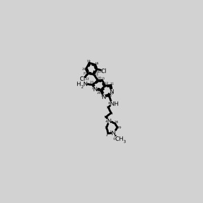 CN1CCN(CCCNc2ncc3cc(-c4c(Cl)cccc4Cl)c(N)nc3n2)CC1